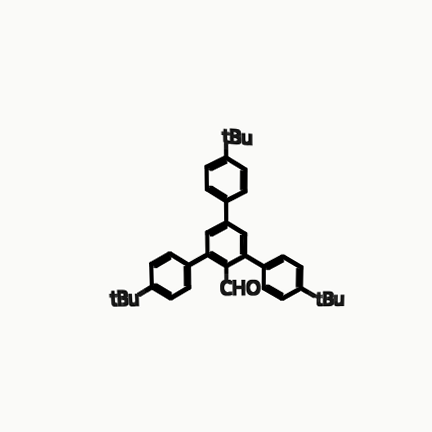 CC(C)(C)c1ccc(-c2cc(-c3ccc(C(C)(C)C)cc3)c(C=O)c(-c3ccc(C(C)(C)C)cc3)c2)cc1